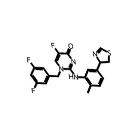 Cc1ccc(C2CSC=N2)cc1Nc1nc(=O)c(F)cn1Cc1cc(F)cc(F)c1